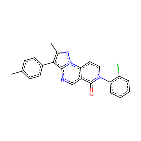 Cc1ccc(-c2c(C)nn3c2ncc2c(=O)n(-c4ccccc4Cl)ccc23)cc1